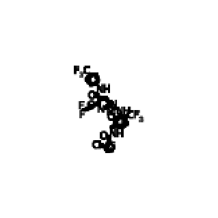 Cn1c(Nc2cc(CNC(=O)c3sccc3Cl)ccc2C(F)(F)F)nc2cc(C(=O)N[C@H]3CC[C@H](C(F)(F)F)CC3)c(OCC(F)F)nc21